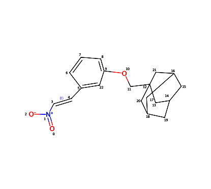 O=[N+]([O-])/C=C/c1cccc(OCC23CC4CC(CC(C4)C2)C3)c1